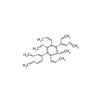 C=C/C=C\C(=C/C=C)c1c(C=C)c(/C=C\C)c(/C(C=C)=C/C=C)c(C=C)c1/C=C\C